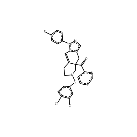 O=C(c1ccccn1)C12Cc3cnn(-c4ccc(F)cc4)c3C=C1CCN(Sc1ccc(Cl)c(Cl)c1)C2